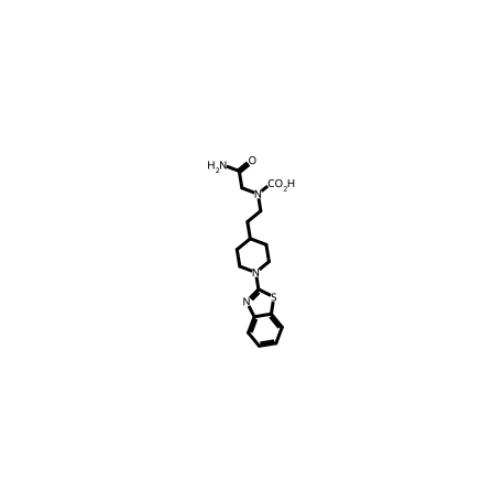 NC(=O)CN(CCC1CCN(c2nc3ccccc3s2)CC1)C(=O)O